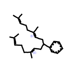 CC(C)=CCC/C(C)=C/C[C](C/C=C(\C)CCC=C(C)C)c1ccccc1